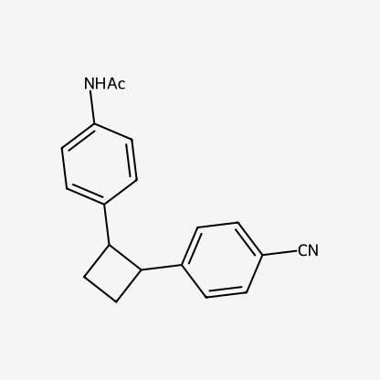 CC(=O)Nc1ccc(C2CCC2c2ccc(C#N)cc2)cc1